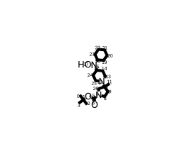 CC(C)(C)OC(=O)N1CCC(C)(N2CCC(N(O)C3CCCCC3)CC2)C1